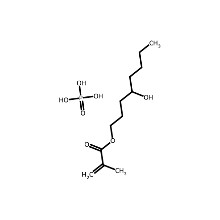 C=C(C)C(=O)OCCCC(O)CCCC.O=P(O)(O)O